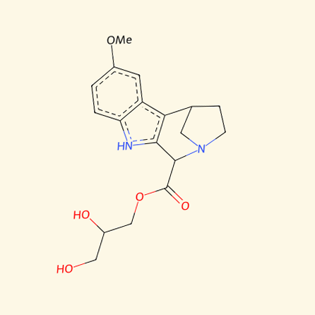 COc1ccc2[nH]c3c(c2c1)C1CCN(C1)C3C(=O)OCC(O)CO